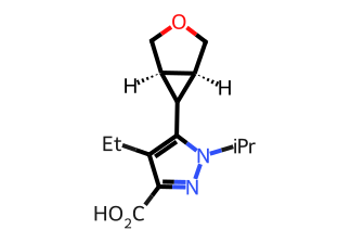 CCc1c(C(=O)O)nn(C(C)C)c1C1[C@H]2COC[C@@H]12